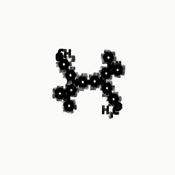 COc1ccc(-c2ccc(N(c3ccc(-c4ccc(N(c5ccc(-c6ccc(OC)cc6)cc5)c5ccc6c(c5)c5ccccc5n6-c5ccccc5)cc4)cc3)c3ccc4c(c3)c3ccccc3n4-c3ccccc3)cc2)cc1